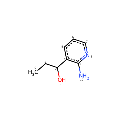 CCC(O)c1cccnc1N